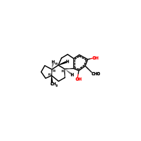 C[C@@]12CCC[C@H]1[C@@H]1CCc3cc(O)c(C=O)c(O)c3[C@H]1CC2